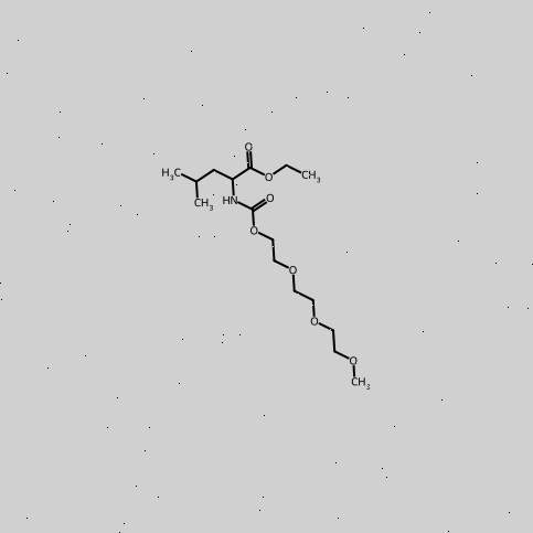 CCOC(=O)C(CC(C)C)NC(=O)OCCOCCOCCOC